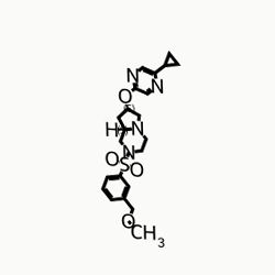 COCc1cccc(S(=O)(=O)N2CCN3C[C@@H](Oc4cnc(C5CC5)cn4)C[C@H]3C2)c1